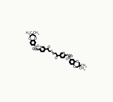 CC1(C)COc2ccc(S(=O)(=O)Nc3ccc(C(=O)CSSCC(=O)c4ccc(NS(=O)(=O)c5ccc6c(c5)OCC(C)(C)CO6)nc4)cn3)cc2OC1